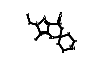 CCn1nc2c(c1C)OC1(CCNCC1)CC2=O